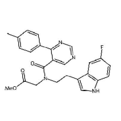 COC(=O)CN(CCc1c[nH]c2ccc(F)cc12)C(=O)c1cncnc1-c1ccc(C)cc1